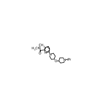 CC(C)N1CCC(OC2CCN(c3cccc(C(=O)N(C)C)n3)CC2)CC1